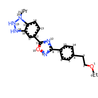 CCOCCc1ccc(-c2noc(-c3ccc4c(c3)NNN4C(C)C)n2)cc1